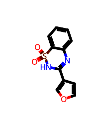 O=S1(=O)NC(c2ccoc2)=Nc2ccccc21